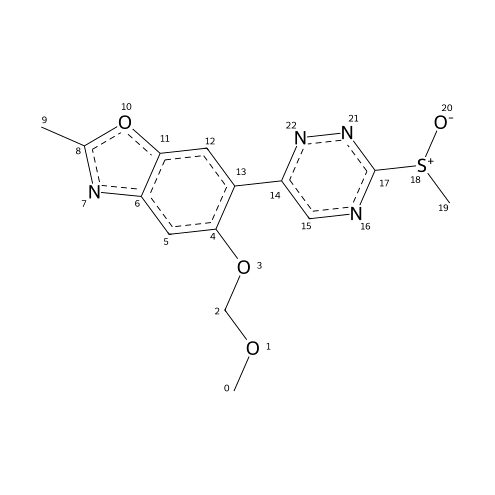 COCOc1cc2nc(C)oc2cc1-c1cnc([S+](C)[O-])nn1